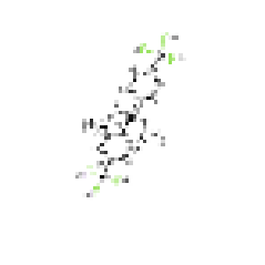 C=C[Si](C=C)(c1ccc(C(F)(F)F)cc1)c1ccc(C(F)(F)F)cc1